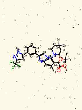 COC(=O)C(OC(C)(C)C)c1c(C)cc2nc(-c3cccc(-c4cc(C(F)(F)F)nn4C)c3)cn2c1N1CCC(C)(C)CC1